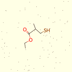 CCOC(=O)C(C)CS